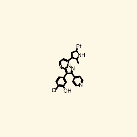 CCC1CC(c2ccnc3c(-c4ccc(Cl)c(O)c4)c(-c4ccncc4)nn23)C(C)N1